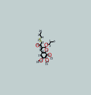 CCCOC(=O)C(=Cc1cc(OC)c(OC)c(OC)c1)C(=O)CSCCC